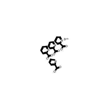 O=C([O-])c1ccccn1.O=C([O-])c1ccccn1.O=C([O-])c1ccccn1.O=C([O-])c1ccccn1.[Zr+4]